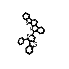 c1ccc(-c2nc(-c3nc4c(ccc5c6ccccc6sc54)c4ccccc34)cc3sc4ccccc4c23)cc1